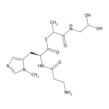 CC(SC(=O)[C@H](Cc1cncn1C)NC(=O)CCN)C(=O)NCC(O)O